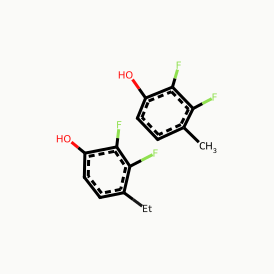 CCc1ccc(O)c(F)c1F.Cc1ccc(O)c(F)c1F